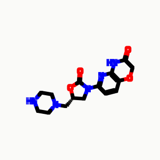 O=C1COc2ccc(N3C[C@H](CN4CCNCC4)OC3=O)nc2N1